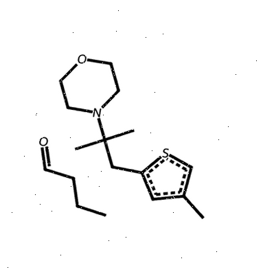 CCCC=O.Cc1csc(CC(C)(C)N2CCOCC2)c1